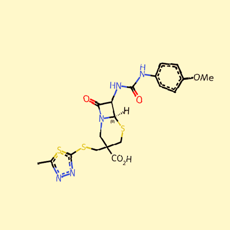 COc1ccc(NC(=O)NC2C(=O)N3CC(CSc4nnc(C)s4)(C(=O)O)CS[C@H]23)cc1